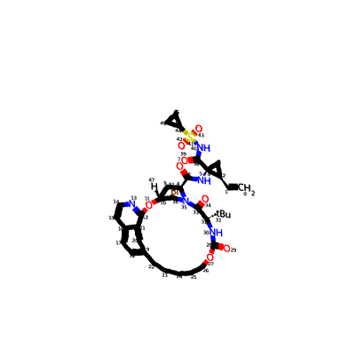 C=C[C@@H]1C[C@]1(NC(=O)[C@@H]1C[C@H]2Oc3nccc4ccc(cc34)CCCCCOC(=O)N[C@@H](C(C)(C)C)C(=O)N1C2Br)C(=O)NS(=O)(=O)C1CC1